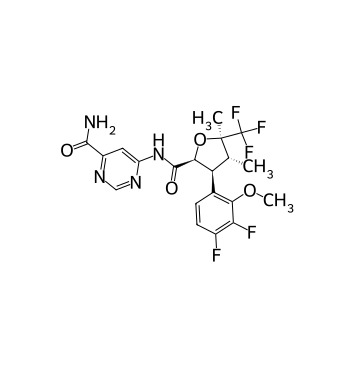 COc1c([C@H]2[C@@H](C(=O)Nc3cc(C(N)=O)ncn3)O[C@@](C)(C(F)(F)F)[C@@H]2C)ccc(F)c1F